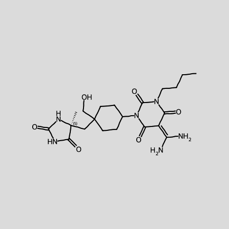 CCCCN1C(=O)C(=C(N)N)C(=O)N(C2CCC(CO)(C[C@]3(C)NC(=O)NC3=O)CC2)C1=O